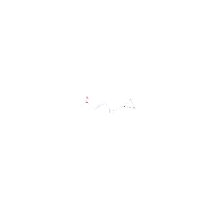 O=C(O)C=NNC1CC1